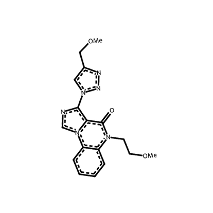 COCCn1c(=O)c2c(-n3cc(COC)nn3)ncn2c2ccccc21